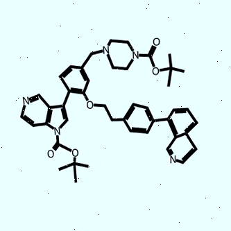 CC(C)(C)OC(=O)N1CCN(Cc2ccc(-c3cn(C(=O)OC(C)(C)C)c4ccncc34)c(OCCc3ccc(-c4cccc5ccncc45)cc3)c2)CC1